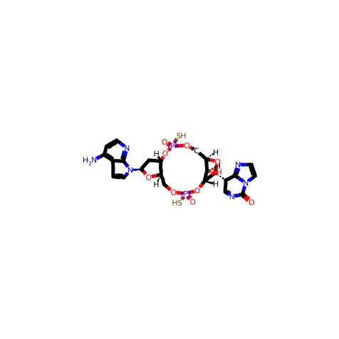 Nc1ccnc2c1ccn2[C@H]1C[C@@H]2OP(=O)(S)OC[C@H]3O[C@H](C4C=NC(=O)n5ccnc54)[C@H](OP(=O)(S)OC[C@H]2O1)[C@@H]3O